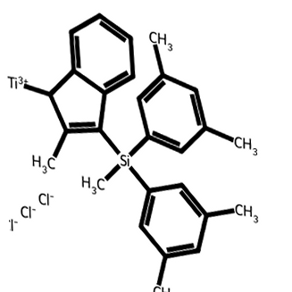 CC1=C([Si](C)(c2cc(C)cc(C)c2)c2cc(C)cc(C)c2)c2ccccc2[CH]1[Ti+3].[Cl-].[Cl-].[Cl-]